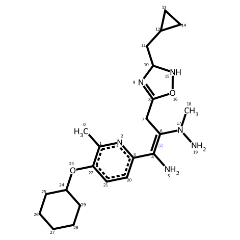 Cc1nc(/C(N)=C(\CC2=NC(CC3CC3)NO2)N(C)N)ccc1OC1CCCCC1